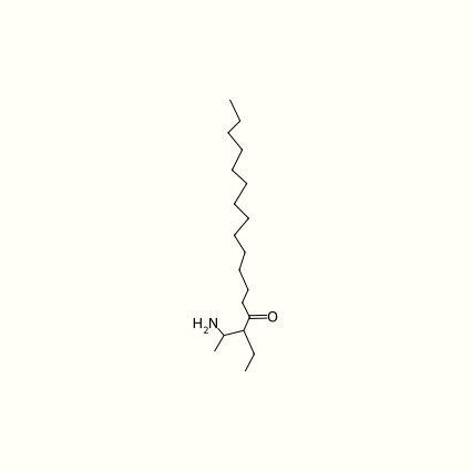 CCCCCCCCCCCCCC(=O)C(CC)C(C)N